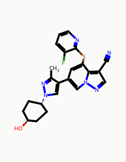 Cc1nn([C@H]2CC[C@H](O)CC2)cc1-c1cc(Sc2ncccc2F)c2c(C#N)cnn2c1